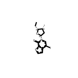 CC[C@H]1O[C@@H](n2cc(I)c3ccsc3c2=S)C[C@H]1C